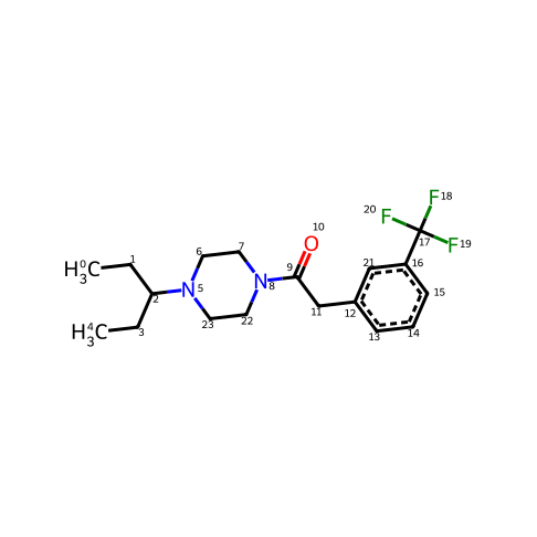 CCC(CC)N1CCN(C(=O)Cc2cccc(C(F)(F)F)c2)CC1